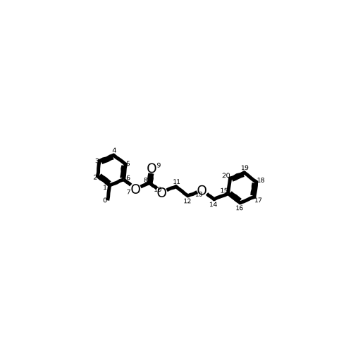 Cc1ccccc1OC(=O)OCCOCc1ccccc1